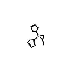 C[CH]1[CH2][Zr]1([C]1=CC=CC1)[C]1=CC=CC1